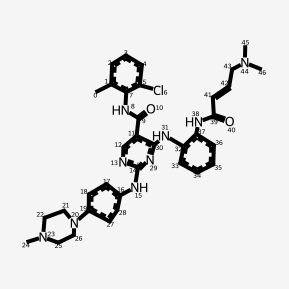 Cc1cccc(Cl)c1NC(=O)c1cnc(Nc2ccc(N3CCN(C)CC3)cc2)nc1Nc1ccccc1NC(=O)/C=C/CN(C)C